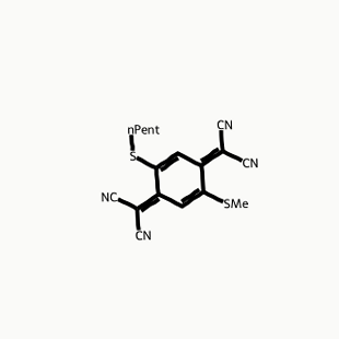 CCCCCSc1cc(=C(C#N)C#N)c(SC)cc1=C(C#N)C#N